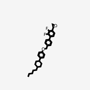 CCCCCC1CCC(c2ccc(OCc3ccc(-c4ccc(C5CO5)c(F)c4F)cc3)cc2)CC1